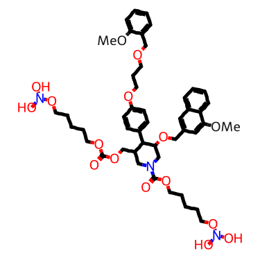 COc1ccccc1COCCCOc1ccc(C2C(COC(=O)OCCCCCON(O)O)CN(C(=O)OCCCCCON(O)O)CC2OCc2cc(OC)c3ccccc3c2)cc1